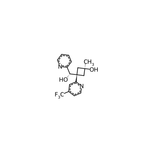 C[C@]1(O)C[C@](c2cc(C(F)(F)F)ccn2)([C@H](O)c2ccccn2)C1